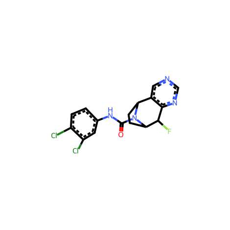 O=C(Nc1ccc(Cl)c(Cl)c1)N1C2CCC1C(F)c1ncncc12